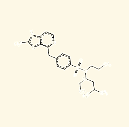 CCCN([C@H](CO)CC(C)C)S(=O)(=O)c1ccc(Cc2nccc3[nH]c(C)nc23)cc1